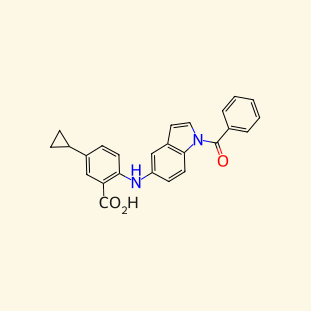 O=C(O)c1cc(C2CC2)ccc1Nc1ccc2c(ccn2C(=O)c2ccccc2)c1